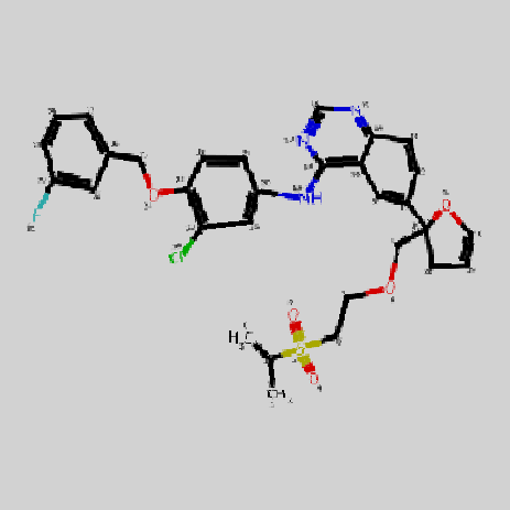 CC(C)S(=O)(=O)CCOCC1(c2ccc3ncnc(Nc4ccc(OCc5cccc(F)c5)c(Cl)c4)c3c2)CC=CO1